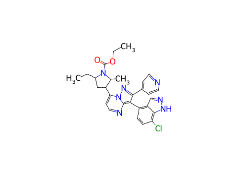 CCOC(=O)N1C(CC)CC(c2ccnc3c(-c4ccc(Cl)c5[nH]ncc45)c(-c4ccncc4)nn23)C1C